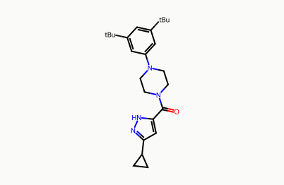 CC(C)(C)c1cc(N2CCN(C(=O)c3cc(C4CC4)n[nH]3)CC2)cc(C(C)(C)C)c1